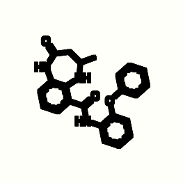 CC1CC(=O)Nc2cccc(C(=O)Nc3ccccc3Oc3ccccc3)c2N1